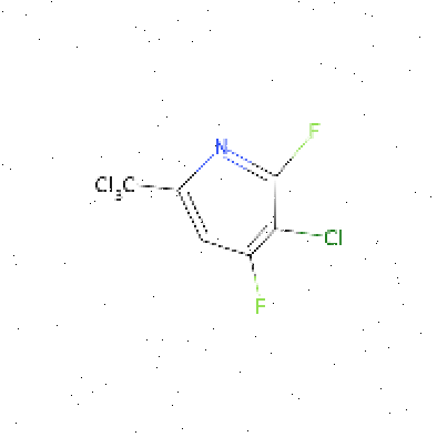 Fc1cc(C(Cl)(Cl)Cl)nc(F)c1Cl